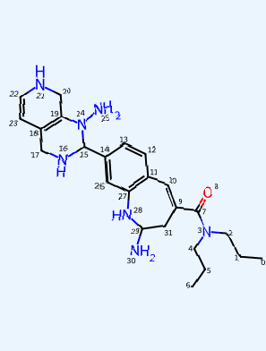 CCCN(CCC)C(=O)C1=Cc2ccc(C3NCC4=C(CNC=C4)N3N)cc2NC(N)C1